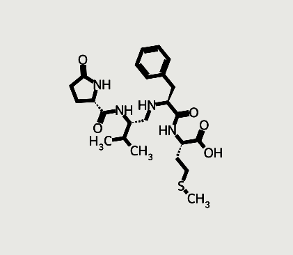 CSCC[C@H](NC(=O)[C@H](Cc1ccccc1)NC[C@@H](NC(=O)[C@@H]1CCC(=O)N1)C(C)C)C(=O)O